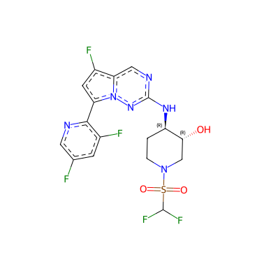 O=S(=O)(C(F)F)N1CC[C@@H](Nc2ncc3c(F)cc(-c4ncc(F)cc4F)n3n2)[C@H](O)C1